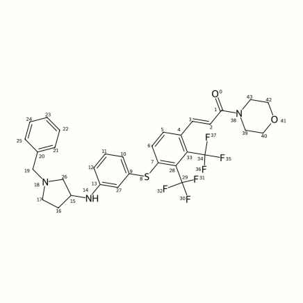 O=C(C=Cc1ccc(Sc2cccc(NC3CCN(Cc4ccccc4)C3)c2)c(C(F)(F)F)c1C(F)(F)F)N1CCOCC1